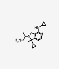 CC(CN)N1Cc2c(ccnc2NC2CC2)C1(C)C1CC1